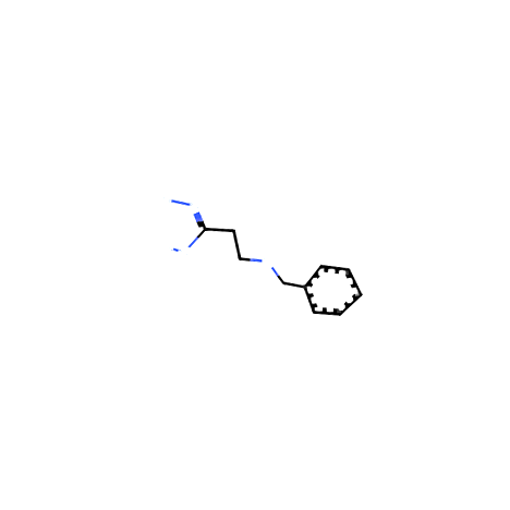 N/N=C(/CCNCc1ccccc1)NN